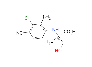 Cc1c(N[C@](C)(CO)C(=O)O)ccc(C#N)c1Cl